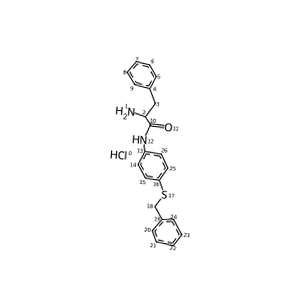 Cl.NC(Cc1ccccc1)C(=O)Nc1ccc(SCc2ccccc2)cc1